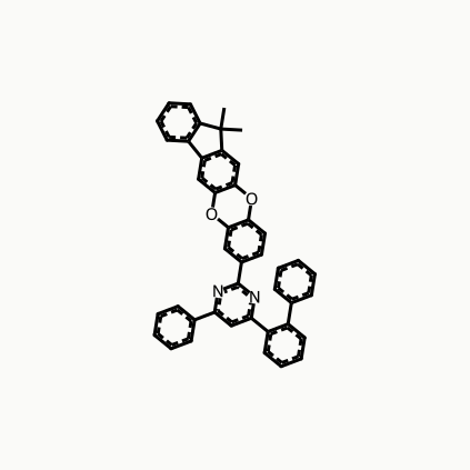 CC1(C)c2ccccc2-c2cc3c(cc21)Oc1ccc(-c2nc(-c4ccccc4)cc(-c4ccccc4-c4ccccc4)n2)cc1O3